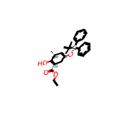 CCOC(=O)[C@H]1C[C@H](O[Si](c2ccccc2)(c2ccccc2)C(C)(C)C)C[C@@H](C)C1O